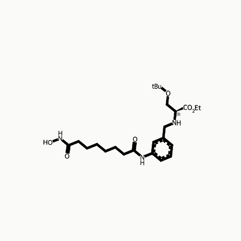 CCOC(=O)[C@H](COC(C)(C)C)NCc1cccc(NC(=O)CCCCCCC(=O)NO)c1